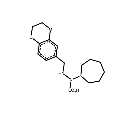 O=C(O)N(NCc1ccc2c(c1)OCCO2)N1CCCCCC1